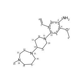 C=Cc1cc(N)c(OC)cc1N1CCC(N2CCCN(C)CC2)CC1